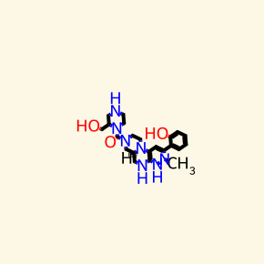 CN1NC2=C(C=C1c1ccccc1O)N1CCN(C(=O)N3CCNCC3CO)C[C@@H]1CN2